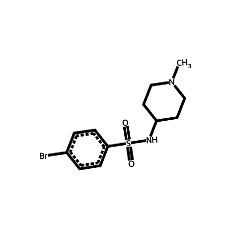 CN1CCC(NS(=O)(=O)c2ccc(Br)cc2)CC1